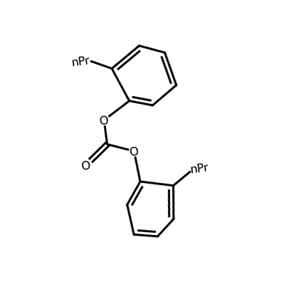 CCCc1ccccc1OC(=O)Oc1ccccc1CCC